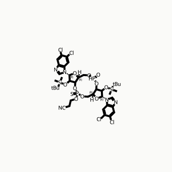 CC(C)(C)[Si](C)(C)OC1C2O[PH](=O)OC[C@H]3O[C@@H](n4cnc5cc(Cl)c(Cl)cc54)C(O[Si](C)(C)C(C)(C)C)C3OP(=S)(OCCC#N)OC[C@H]2O[C@H]1n1cnc2cc(Cl)c(Cl)cc21